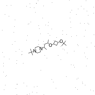 CC(CC(C)N1CCN(C(C)(C)C)CC1)OC1CC(OC(C)(C)C)C1